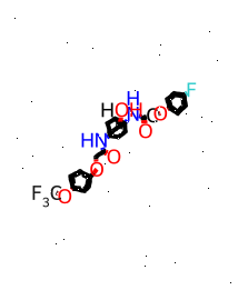 O=C(COc1ccc(OC(F)(F)F)cc1)NC12CCC(NC(=O)COc3ccc(F)cc3)(CC1)[C@@H](O)C2